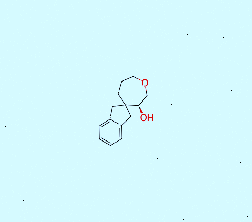 O[C@@H]1COCCCC12Cc1ccccc1C2